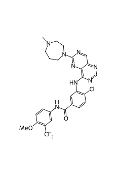 COc1ccc(NC(=O)c2ccc(Cl)c(Nc3ncnc4cnc(N5CCCN(C)CC5)nc34)c2)cc1C(F)(F)F